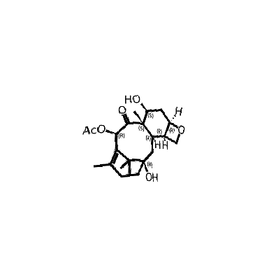 CC(=O)O[C@H]1C(=O)[C@@]2(C)[C@H](C[C@]3(O)CCC(C)=C1C3(C)C)[C@@H]1CO[C@@H]1C[C@@H]2O